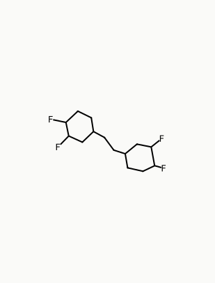 FC1CCC(CCC2CCC(F)C(F)C2)CC1F